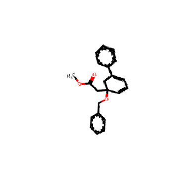 COC(=O)CC1(OCc2ccccc2)C=CC=C(c2ccccc2)C1